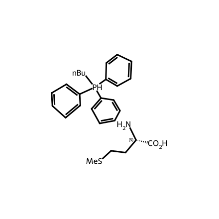 CCCC[PH](c1ccccc1)(c1ccccc1)c1ccccc1.CSCC[C@H](N)C(=O)O